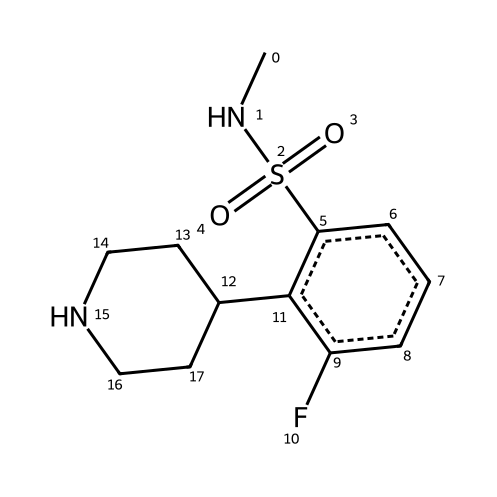 CNS(=O)(=O)c1cccc(F)c1C1CCNCC1